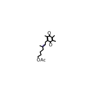 CC(=O)OCCCC/C(C)=C/CC1=C(C)C(=O)C(C)=C(C)C1=O